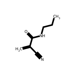 C=C(C#N)C(=O)NCCC